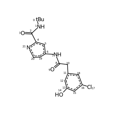 CC(C)(C)NC(=O)c1cc(NC(=O)Cc2cc(O)cc(Cl)c2)ccn1